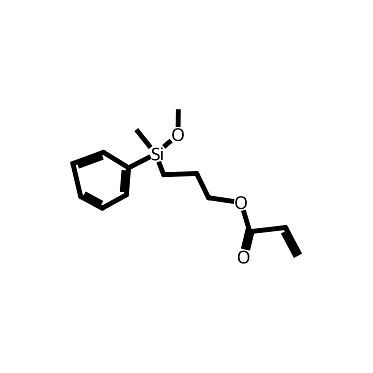 C=CC(=O)OCCC[Si](C)(OC)c1ccccc1